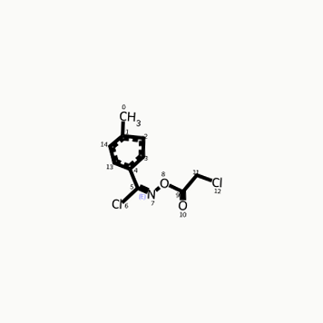 Cc1ccc(/C(Cl)=N\OC(=O)CCl)cc1